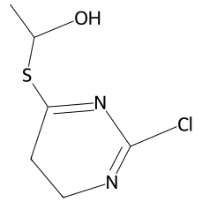 CC(O)SC1=NC(Cl)=NCC1